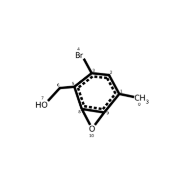 Cc1cc(Br)c(CO)c2c1O2